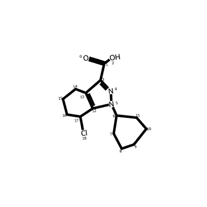 O=C(O)c1nn(C2CCCCC2)c2c1CCCC2Cl